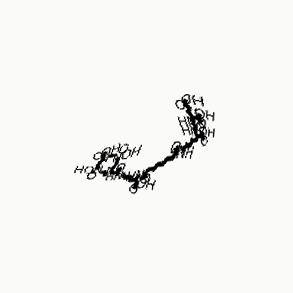 CC1CN(C(=O)O)CCN(C(=O)O)CCN(C(=O)O)CCN1CC(=O)NCCCCC(NC(=O)CCCCCCC(=O)NCCCCC(NC(=O)NC(CCC(=O)O)C(=O)O)C(=O)O)C(=O)O